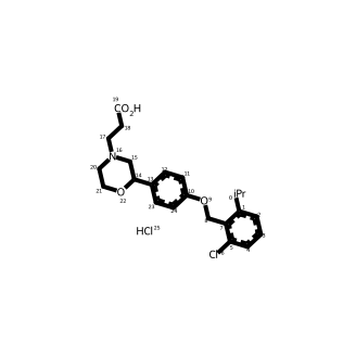 CC(C)c1cccc(Cl)c1COc1ccc(C2CN(CCC(=O)O)CCO2)cc1.Cl